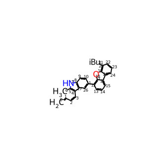 C=C/C=C\c1c(C)[nH]c2ccc(-c3cccc4c3oc3c(C(C)CC)cccc34)cc12